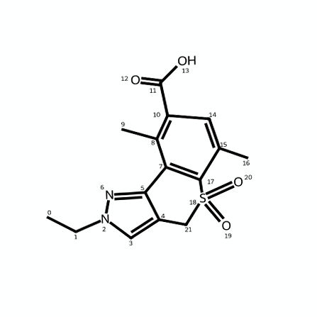 CCn1cc2c(n1)-c1c(C)c(C(=O)O)cc(C)c1S(=O)(=O)C2